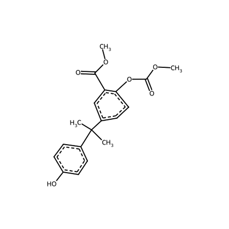 COC(=O)Oc1ccc(C(C)(C)c2ccc(O)cc2)cc1C(=O)OC